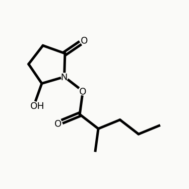 CCCC(C)C(=O)ON1C(=O)CCC1O